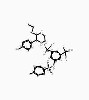 CCOC1OCCNC1c1ccc(F)cc1.Cc1ccc(S(=O)(=O)Oc2cc(C(F)(F)F)cc(C(F)(F)F)c2)cc1